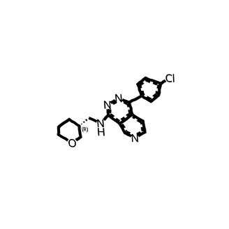 Clc1ccc(-c2nnc(NC[C@H]3CCCOC3)c3cnccc23)cc1